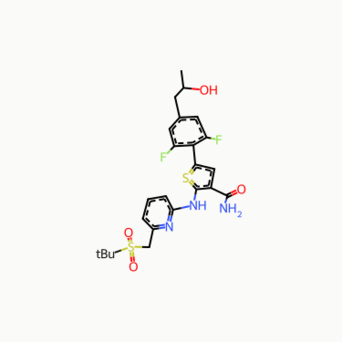 CC(O)Cc1cc(F)c(-c2cc(C(N)=O)c(Nc3cccc(CS(=O)(=O)C(C)(C)C)n3)s2)c(F)c1